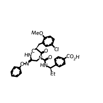 CC[C@@H](NC(=O)N1C/C(=N/Oc2ccccc2)NC[C@@H](Cc2cc(Cl)ccc2OC)C1=O)c1ccc(C(=O)O)cc1